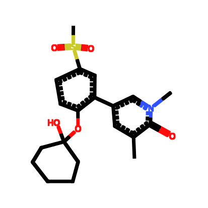 Cc1cc(-c2cc(S(C)(=O)=O)ccc2OC2(O)CCCCC2)cn(C)c1=O